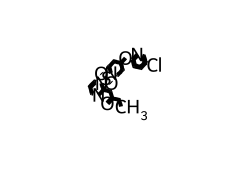 CCC(=O)CC1N=CC=CN1S(=O)(=O)N1CCC(Oc2ccc(Cl)cn2)CC1